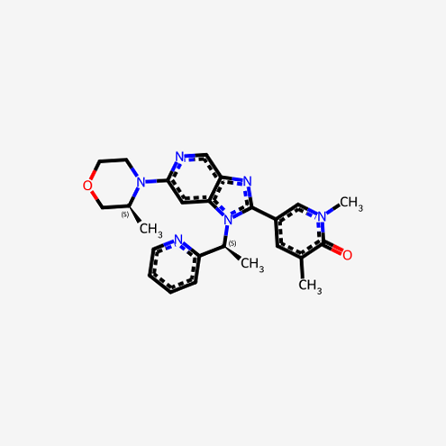 Cc1cc(-c2nc3cnc(N4CCOC[C@@H]4C)cc3n2[C@@H](C)c2ccccn2)cn(C)c1=O